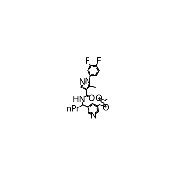 CCCC(NC(=O)c1cnn(-c2ccc(F)c(F)c2)c1C)c1cncc(S(C)(=O)=O)c1